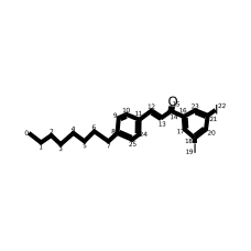 CCCCCCCCc1ccc(C=CC(=O)c2cc(I)cc(I)c2)cc1